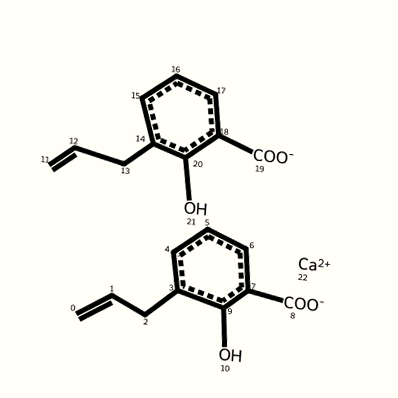 C=CCc1cccc(C(=O)[O-])c1O.C=CCc1cccc(C(=O)[O-])c1O.[Ca+2]